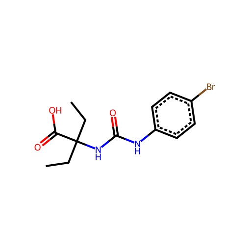 CCC(CC)(NC(=O)Nc1ccc(Br)cc1)C(=O)O